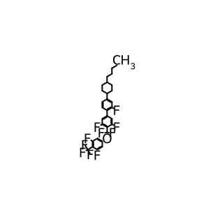 CCCCCC1CCC(c2ccc(-c3cc(F)c(C(F)(F)Oc4cc(F)c(C(F)(F)F)c(F)c4)c(F)c3)c(F)c2)CC1